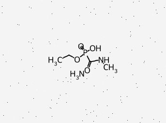 CCOP(=O)(O)C(=O)NC.N